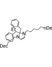 CCCCCCCCCCCCCCCN1C=CN(CCCCCCCCCCCCC)C1(Cc1ccccc1)C(CC)c1ccccc1